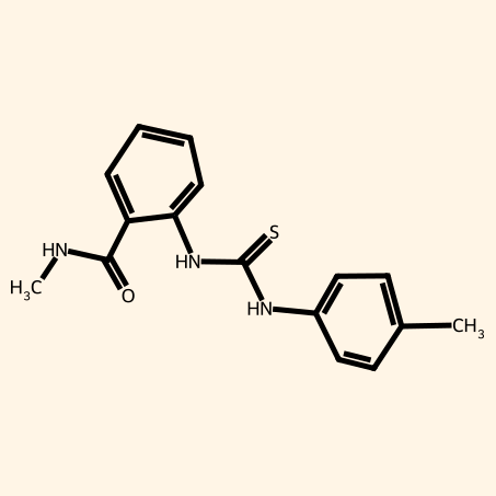 CNC(=O)c1ccccc1NC(=S)Nc1ccc(C)cc1